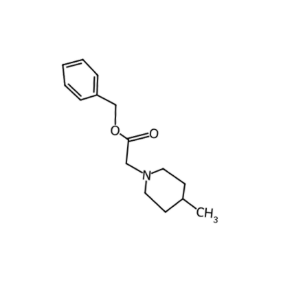 CC1CCN(CC(=O)OCc2ccccc2)CC1